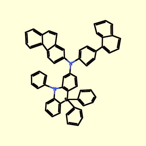 c1ccc(N2c3ccccc3[Si](c3ccccc3)(c3ccccc3)c3ccc(N(c4ccc(-c5cccc6ccccc56)cc4)c4ccc5c(ccc6ccccc65)c4)cc32)cc1